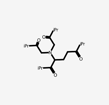 CC(C)C(=O)CCC(C(=O)C(C)C)N(CC(=O)C(C)C)CC(=O)C(C)C